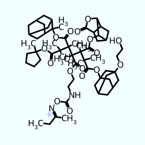 CC/C(C)=N/OC(=O)NCCOC(=O)C(C)(C(C)(C(=O)OC1C2CC3C(=O)OC1C3C2)C(C)(C)C(=O)OC12CC3CC(CC(OCCO)(C3)C1)C2)C(C)(C(=O)OC1(C)C2CC3CC(C2)CC1C3)C(C)(C)C(=O)OC1(C)CCCC1